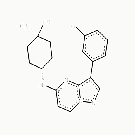 C[C@]1(O)CC[C@H](Nc2ccn3ncc(-c4cccc(Cl)c4)c3n2)CC1